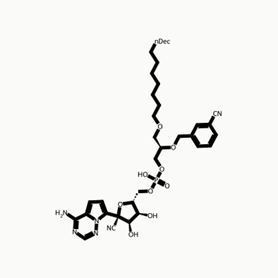 CCCCCCCCCCCCCCCCCOC[C@H](COP(=O)(O)OC[C@H]1O[C@@](C#N)(c2ccc3c(N)ncnn23)[C@H](O)[C@@H]1O)OCc1cccc(C#N)c1